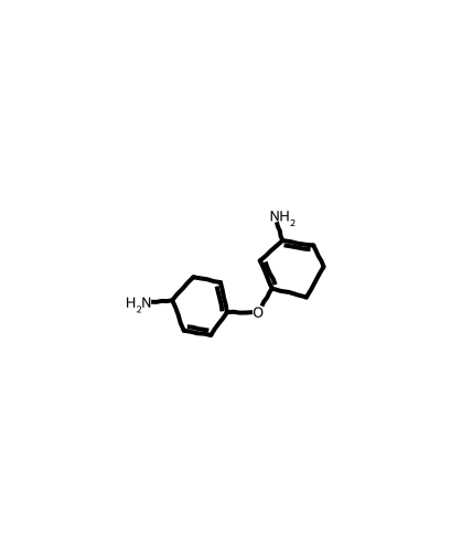 NC1=CCCC(OC2=CCC(N)C=C2)=C1